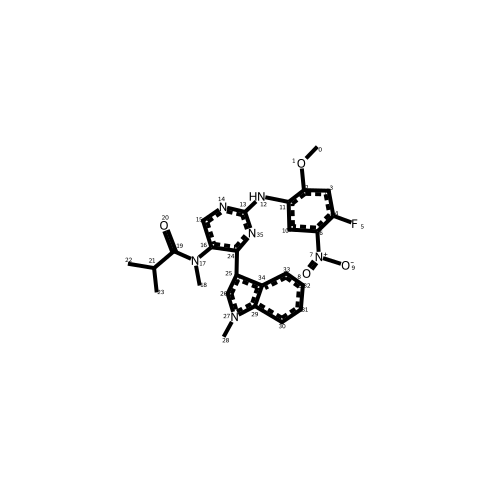 COc1cc(F)c([N+](=O)[O-])cc1Nc1ncc(N(C)C(=O)C(C)C)c(-c2cn(C)c3ccccc23)n1